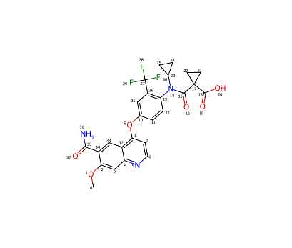 COc1cc2nccc(Oc3ccc(N(C(=O)C4(C(=O)O)CC4)C4CC4)c(C(F)(F)F)c3)c2cc1C(N)=O